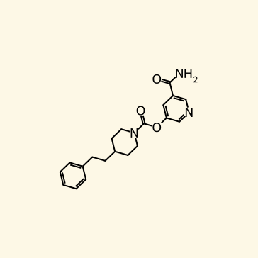 NC(=O)c1cncc(OC(=O)N2CCC(CCc3ccccc3)CC2)c1